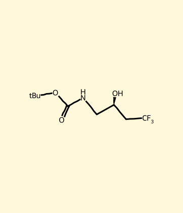 CC(C)(C)OC(=O)NC[C@@H](O)CC(F)(F)F